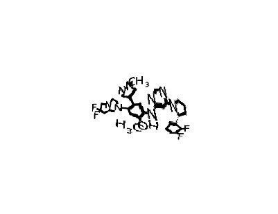 COc1cc(N2CCN3CC(F)(F)CC3C2)c(-c2cnn(C)c2)cc1Nc1cc(N2CCC[C@@H]2c2cccc(F)c2F)ncn1